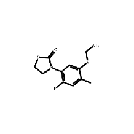 Cc1cc(F)c(N2CCOC2=O)cc1SCC(F)(F)F